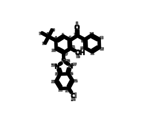 CC(C)(C)c1cc(C(=O)c2ccccc2)c(O)c(-n2nc3ccc(Cl)cc3n2)c1